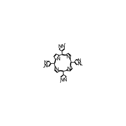 Cn1cc(C2=C3C=CC(=N3)C(c3cnn(C)c3)=C3C=CC(=N3)C(c3cnn(C)c3)=C3C=CC(=N3)C(c3cnn(C)c3)=C3C=CC2=N3)cn1